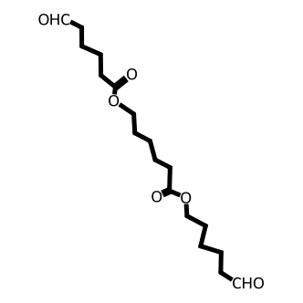 O=CCCCCCOC(=O)CCCCCOC(=O)CCCCC=O